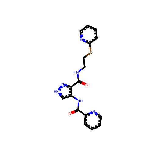 O=C(Nc1c[nH]nc1C(=O)NCCSc1ccccn1)c1ccccn1